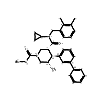 Cc1cccc(CN(C(=O)[C@H]2CN(C(=O)OC(C)(C)C)C[C@@H](N)[C@@H]2c2cccc(-c3ccccc3)c2)C2CC2)c1C